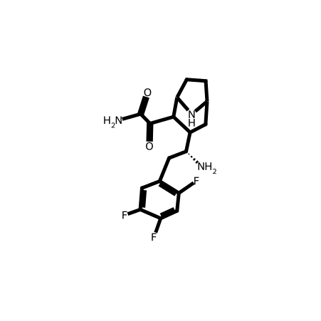 NC(=O)C(=O)C1C2CCC(CC1[C@H](N)Cc1cc(F)c(F)cc1F)N2